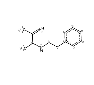 [CH2]C(=N)C(C)NCCc1ccccc1